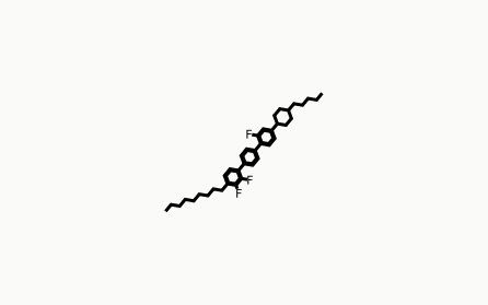 CCCCCCCCCc1ccc(-c2ccc(-c3ccc(C4CCC(CCCCC)CC4)cc3F)cc2)c(F)c1F